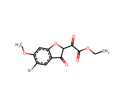 CCOC(=O)C(=O)C1Oc2cc(OC)c(Br)cc2C1=O